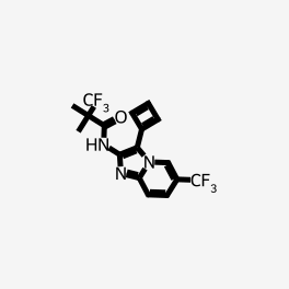 CC(C)(C(=O)Nc1nc2ccc(C(F)(F)F)cn2c1C1=CC=C1)C(F)(F)F